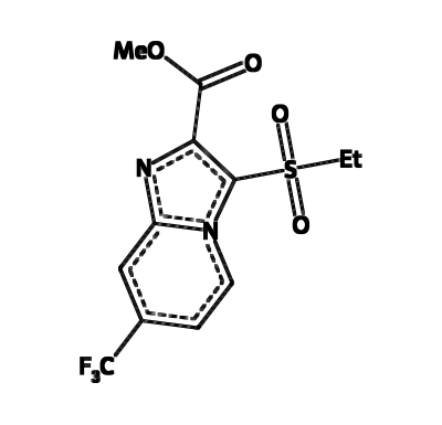 CCS(=O)(=O)c1c(C(=O)OC)nc2cc(C(F)(F)F)ccn12